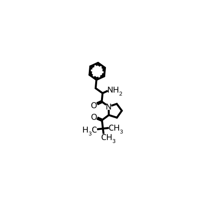 CC(C)(C)C(=O)C1CCCN1C(=O)C(N)Cc1ccccc1